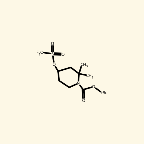 CC(C)(C)OC(=O)N1CCC(OS(=O)(=O)C(F)(F)F)CC1(C)C